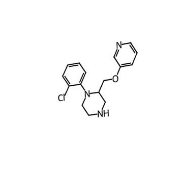 Clc1ccccc1N1CCNCC1COc1cccnc1